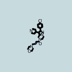 O=C(/C=C/CN1CCOCC1)N1CCn2nc(-c3ccc(Cl)cc3)c(-c3ccncc3)c2C1